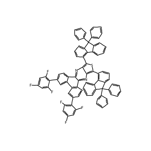 Fc1cc(F)c(-c2ccc3c(c2)c2cc(-c4c(F)cc(F)cc4F)ccc2c2nc4c(-c5cccc6c5-c5ccccc5C6(c5ccccc5)c5ccccc5)sc(-c5cccc6c5-c5ccccc5C6(c5ccccc5)c5ccccc5)c4nc32)c(F)c1